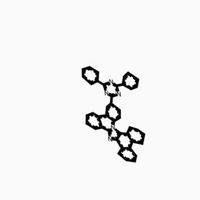 c1ccc(-c2nc(-c3ccccc3)nc(-c3ccc4c(c3)c3ccccc3c3nc5c6ccccc6c6ccccc6c5n43)n2)cc1